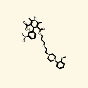 COc1ccccc1N1CCN(CCOCCCOC(=O)C2=C(C)NC(C)=C(C(=O)O)C2c2cccc([N+](=O)[O-])c2)CC1